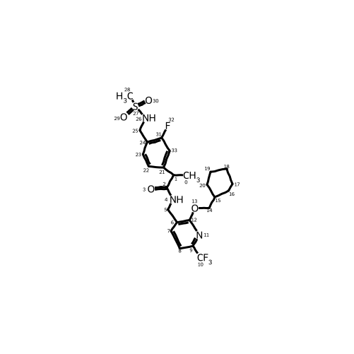 CC(C(=O)NCc1ccc(C(F)(F)F)nc1OCC1CCCCC1)c1ccc(CNS(C)(=O)=O)c(F)c1